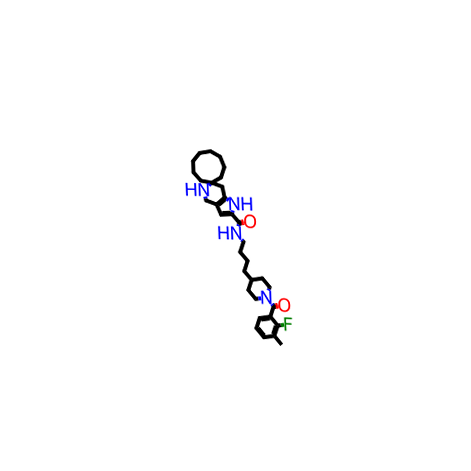 Cc1cccc(C(=O)N2CCC(CCCCNC(=O)c3cc4c([nH]3)CC3(CCCCCCCC3)NC4)CC2)c1F